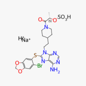 C[C@H](OS(=O)(=O)O)C(=O)N1CCC(CCn2c(Sc3cc4c(cc3Br)OCO4)nc3c(N)ncnc32)CC1.[H+].[Na+]